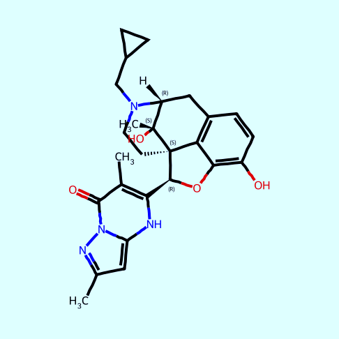 Cc1cc2[nH]c([C@@H]3Oc4c(O)ccc5c4[C@@]34CCN(CC3CC3)[C@H](C5)[C@@]4(C)O)c(C)c(=O)n2n1